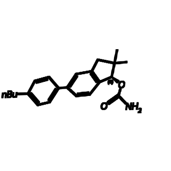 CCCCc1ccc(-c2ccc3c(c2)CC(C)(C)[C@H]3OC(N)=O)cc1